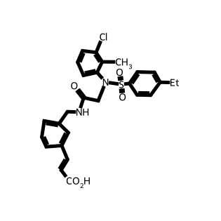 CCc1ccc(S(=O)(=O)N(CC(=O)NCc2cccc(C=CC(=O)O)c2)c2cccc(Cl)c2C)cc1